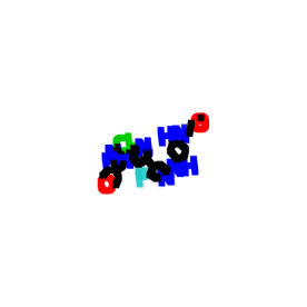 COCCN[C@H]1CC[C@H](Nc2cc(-c3cnc(Cl)c(NCC4(C#N)CCOCC4)c3)c(F)cn2)CC1